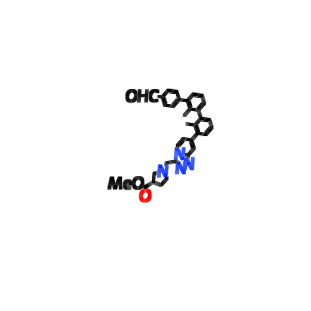 COC(=O)[C@@H]1CCN(Cc2nnc3cc(-c4cccc(-c5cccc(-c6ccc(C=O)cc6)c5C)c4C)ccn23)C1